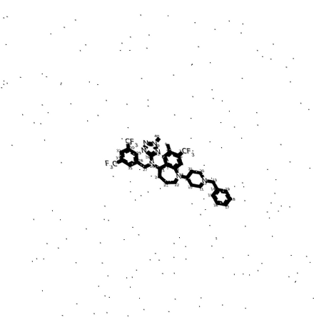 Cc1cc2c(cc1C(F)(F)F)N(C1CCN(Cc3ccccc3)CC1)CCCC2N(Cc1cc(C(F)(F)F)cc(C(F)(F)F)c1)c1nnn(C)n1